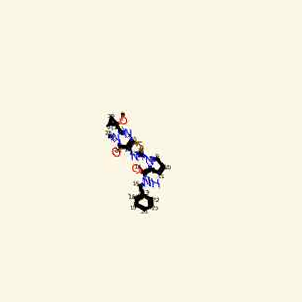 COC1(c2nc3sc(N4CCCC4C(=O)NCc4ccccc4)nc3c(=O)n2C)CC1